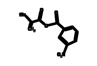 C=C(C(=O)OC(=O)c1cccc([N+](=O)[O-])c1)C(C)(C)C